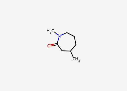 CC1CCCN(C)C(=O)C1